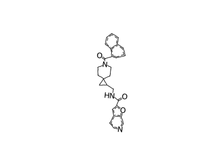 O=C(NCC1CC12CCN(C(=O)c1cccc3ccccc13)CC2)c1cc2ccncc2o1